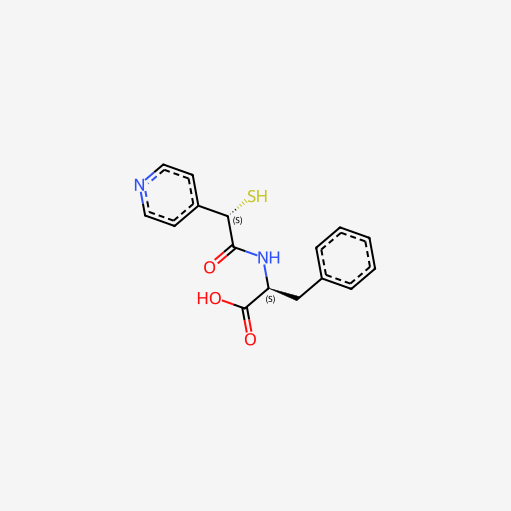 O=C(O)[C@H](Cc1ccccc1)NC(=O)[C@@H](S)c1ccncc1